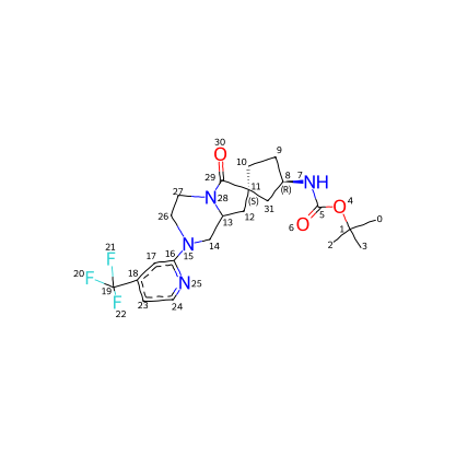 CC(C)(C)OC(=O)N[C@@H]1CC[C@@]2(CC3CN(c4cc(C(F)(F)F)ccn4)CCN3C2=O)C1